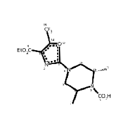 CCOC(=O)c1nc(N2CC(C)N(C(=O)O)[C@@H](C)C2)oc1C(F)(F)F